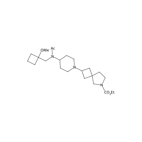 CCOC(=O)N1CCC2(CC(N3CCC(N(CC4(OC)CCC4)C(C)=O)CC3)C2)C1